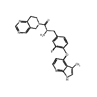 Cc1c[nH]c2nccc(Oc3ccc(CC(N)C(=O)N4CCc5ncncc5C4)cc3F)c12